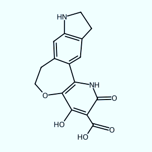 O=C(O)c1c(O)c2c([nH]c1=O)-c1cc3c(cc1CCO2)NCC3